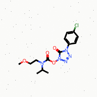 COCCN(C(=O)On1nnn(-c2ccc(Cl)cc2)c1=O)C(C)C